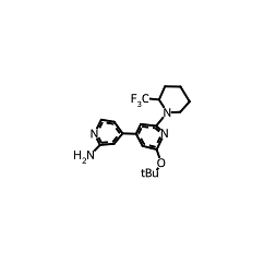 CC(C)(C)Oc1cc(-c2ccnc(N)c2)cc(N2CCCCC2C(F)(F)F)n1